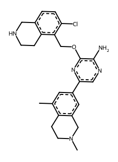 Cc1cc(-c2cnc(N)c(OCc3c(Cl)ccc4c3CCNC4)n2)cc2c1CCN(C)C2